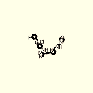 Fc1cccc(COc2ccc(Nc3ncncc3C#Cc3cccc(CNCCN4CCOCC4)n3)cc2Cl)c1